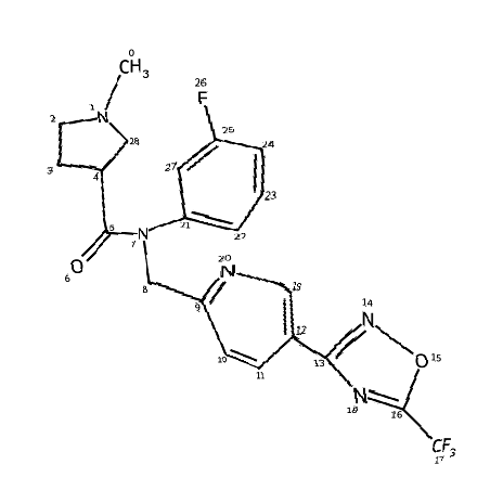 CN1CCC(C(=O)N(Cc2ccc(-c3noc(C(F)(F)F)n3)cn2)c2cccc(F)c2)C1